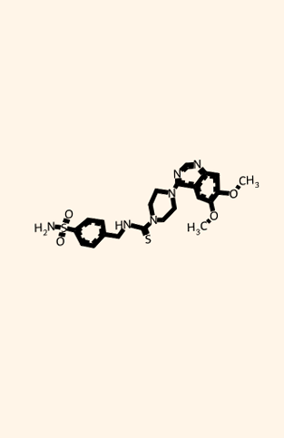 COc1cc2ncnc(N3CCN(C(=S)NCc4ccc(S(N)(=O)=O)cc4)CC3)c2cc1OC